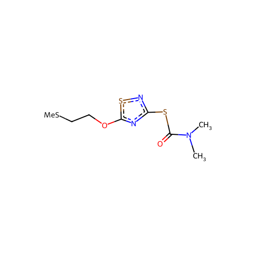 CSCCOc1nc(SC(=O)N(C)C)ns1